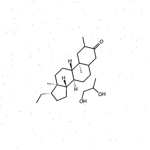 CC(O)CO.CC[C@H]1CC[C@H]2[C@@H]3CCC4CC(=O)C(C)C[C@]4(C)[C@H]3CC[C@]12C